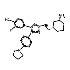 N#Cc1ccc(-c2cc(NC[C@H]3CCC[C@H](N)C3)nn2-c2ccc(N3CCCC3)cc2)cc1F